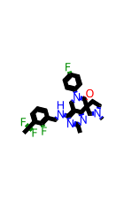 Cc1nc(NCc2cccc(C(C)(F)F)c2F)c2c(n1)C1(CCN(C)C1)C(=O)N(c1ccc(F)cc1)C2